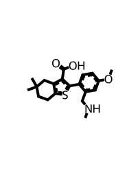 CNCc1cc(OC)ccc1-c1sc2c(c1C(=O)O)CC(C)(C)CC2